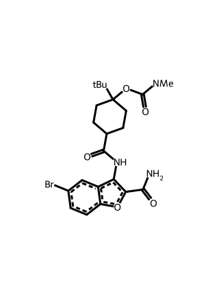 CNC(=O)OC1(C(C)(C)C)CCC(C(=O)Nc2c(C(N)=O)oc3ccc(Br)cc23)CC1